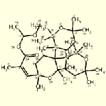 CC(=C[Si]1(C)CCC([Si]2(C)CCC(C)(C)O[Si]2(C)C)([Si]2(C)CCC(C)(C)O[Si]2(C)C)C(C)(C)O1)C(=O)OC(C)O[SiH3]